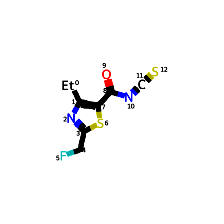 CCc1nc(CF)sc1C(=O)N=C=S